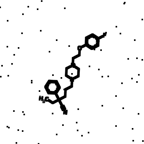 CCC(C#N)(CCCN1CCN(CCOc2ccc(F)cc2)CC1)c1ccccc1